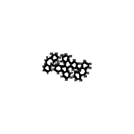 C1=Cc2ccccc2N(c2ccc3c4ccccc4c4c5cc(N6c7ccccc7C=Cc7ccccc76)ccc5c5ccccc5c4c3c2)c2ccccc21